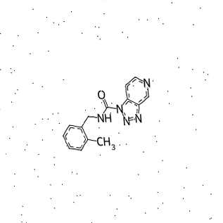 Cc1ccccc1CNC(=O)n1nnc2cnccc21